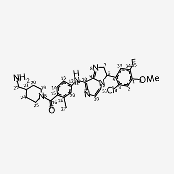 COc1cc(Cl)c(C2CN=C3C(Nc4ccc(C(=O)N5CCC(CN)CC5)c(C)c4)=NC=CN32)cc1F